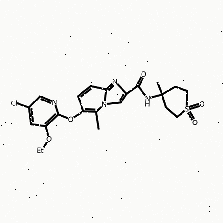 CCOc1cc(Cl)cnc1Oc1ccc2nc(C(=O)NC3(C)CCS(=O)(=O)CC3)cn2c1C